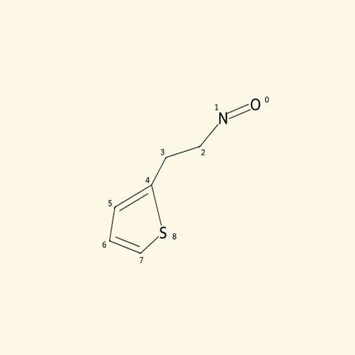 O=NCCc1cccs1